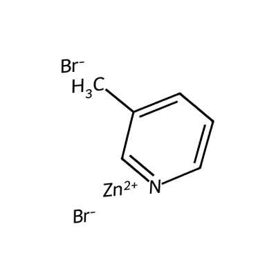 Cc1cccnc1.[Br-].[Br-].[Zn+2]